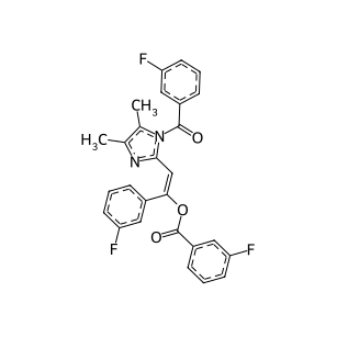 Cc1nc(C=C(OC(=O)c2cccc(F)c2)c2cccc(F)c2)n(C(=O)c2cccc(F)c2)c1C